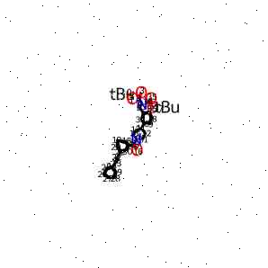 CC(C)(C)OC(=O)N(Cc1cccc(C2CCN(C(=O)c3cccc(C#Cc4ccccc4)c3)CC2)c1)C(=O)OC(C)(C)C